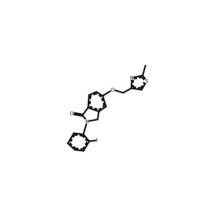 Cc1nc(COc2ccc3c(c2)CN(c2ccccc2F)C3=O)cs1